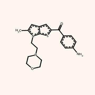 Cc1cc2cc(C(=O)c3ccc(N)cc3)sc2n1CCN1CCOCC1